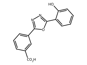 O=C(O)c1cccc(-c2nnc(-c3ccccc3O)o2)c1